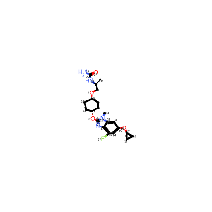 C[C@@H](CO[C@H]1CC[C@H](Oc2nc3c(F)cc(OC4CC4)cc3n2C)CC1)NC(N)=O